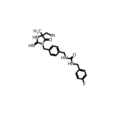 CC(C)CC1(C)NC(=N)N(Cc2ccc(CNC(=O)NCc3ccc(F)cc3)cc2)C1=O